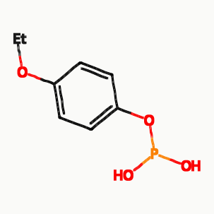 CCOc1ccc(OP(O)O)cc1